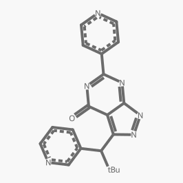 CC(C)(C)C(C1=C2C(=O)N=C(c3ccncc3)N=C2N=N1)c1cccnc1